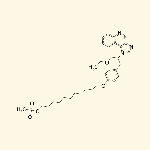 CCOCC(Cc1ccc(OCCCCCCCCCCCOS(C)(=O)=O)cc1)n1cnc2cnc3ccccc3c21